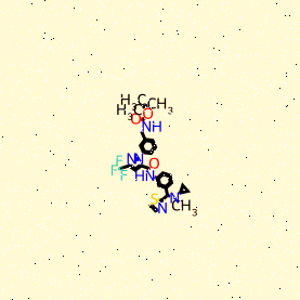 CN(C1CC1)C(c1cccc(NC(=O)c2cc(C(F)(F)F)nn2-c2cccc(CNC(=O)OC(C)(C)C)c2)c1)c1nccs1